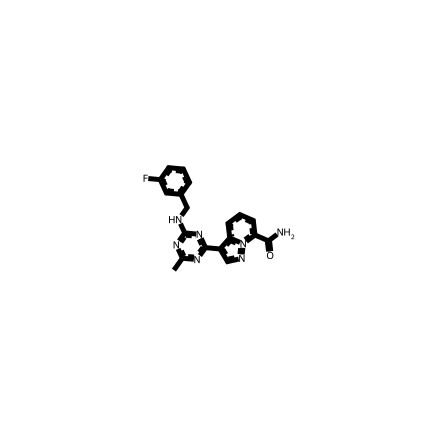 Cc1nc(NCc2cccc(F)c2)nc(-c2cnn3c(C(N)=O)cccc23)n1